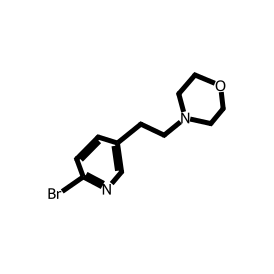 Brc1ccc(CCN2CCOCC2)cn1